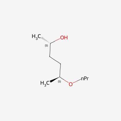 CCCO[C@@H](C)CC[C@H](C)O